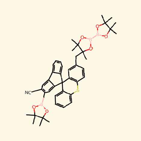 CC1(C)OB(B2OC(C)(C)C(C)(Cc3ccc4c(c3)C3(c5ccccc5S4)c4ccccc4-c4cc(C#N)c(B5OC(C)(C)C(C)(C)O5)cc43)O2)OC1(C)C